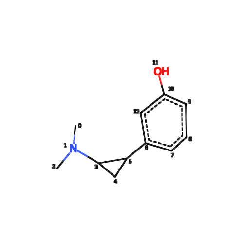 CN(C)C1CC1c1cccc(O)c1